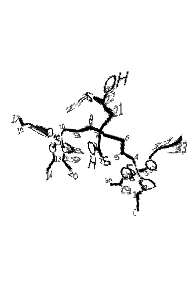 CCO[Si](CCCC(CCC[Si](OCC)(OCC)OCC)(CC(O)=S)C(O)=S)(OCC)OCC